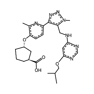 Cc1nc(-c2nnn(C)c2CNc2cc(OCC(C)C)ncn2)ccc1O[C@H]1CCC[C@H](C(=O)O)C1